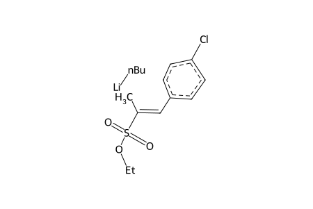 CCOS(=O)(=O)/C(C)=C/c1ccc(Cl)cc1.[Li][CH2]CCC